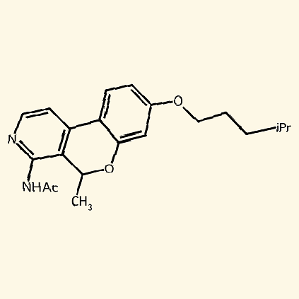 CC(=O)Nc1nccc2c1C(C)Oc1cc(OCCCC(C)C)ccc1-2